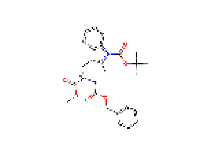 COC(=O)[C@H](Cc1c(C)n(C(=O)OC(C)(C)C)c2ccccc12)NC(=O)OCc1ccccc1